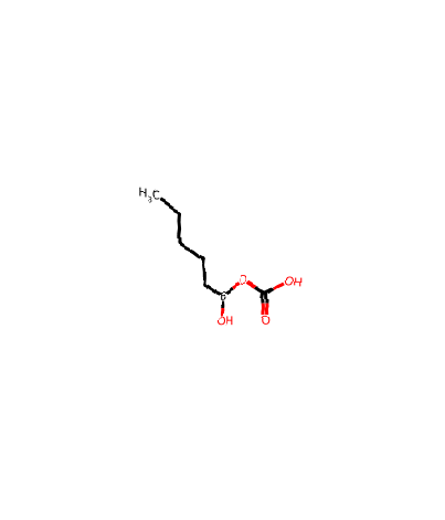 CCCCCB(O)OC(=O)O